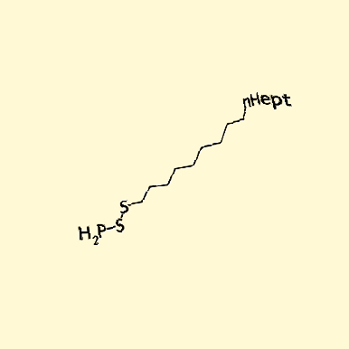 CCCCCCCCCCCCCCCCSSP